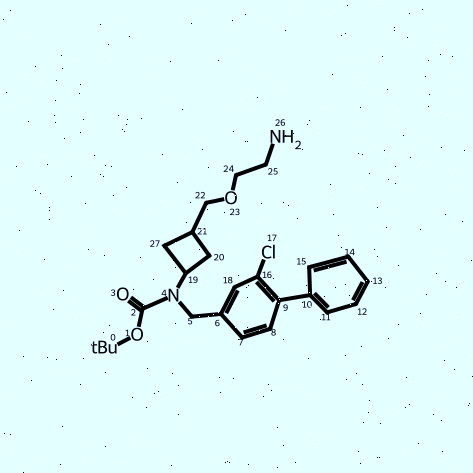 CC(C)(C)OC(=O)N(Cc1ccc(-c2ccccc2)c(Cl)c1)C1CC(COCCN)C1